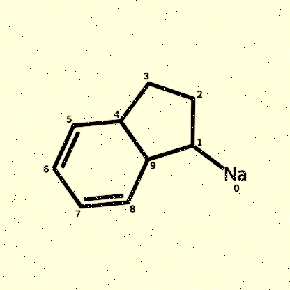 [Na][CH]1CCC2C=CC=CC12